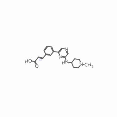 CN1CCC(Nc2cncc(-c3cccc(/C=C/C(=O)O)c3)n2)CC1